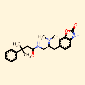 CN(C)[C@H](CNC(=O)CC(C)(C)c1ccccc1)Cc1ccc2[nH]c(=O)oc2c1